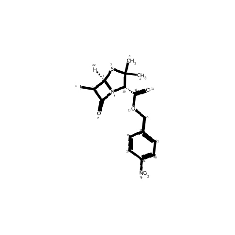 CC1(C)S[C@@H]2C(I)C(=O)N2[C@H]1C(=O)OCc1ccc([N+](=O)[O-])cc1